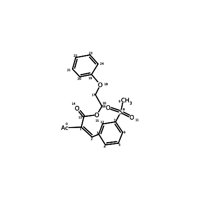 CC(=O)C(=Cc1cccc(S(C)(=O)=O)c1)C(=O)OCCOc1ccccc1